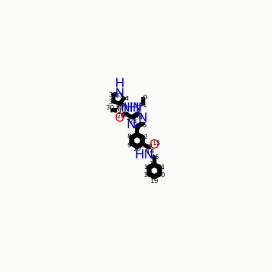 CCNc1ncc(-c2cccc(C(=O)NCc3ccccc3)c2)nc1C(=O)N[C@@]1(CC)CCNC1